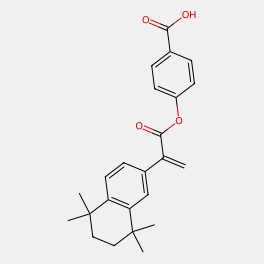 C=C(C(=O)Oc1ccc(C(=O)O)cc1)c1ccc2c(c1)C(C)(C)CCC2(C)C